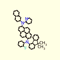 CC1(C)c2ccccc2-c2c(N(c3ccccc3F)c3ccc4ccc5c(N(c6ccc7ccccc7c6)c6ccccn6)ccc6ccc3c4c65)cccc21